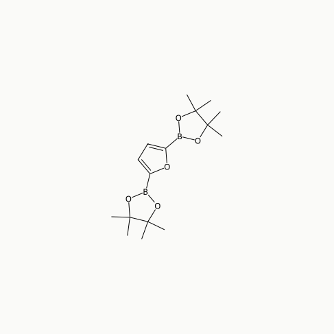 CC1(C)OB(c2ccc(B3OC(C)(C)C(C)(C)O3)o2)OC1(C)C